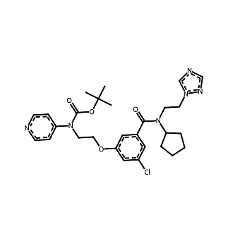 CC(C)(C)OC(=O)N(CCOc1cc(Cl)cc(C(=O)N(CCn2cncn2)C2CCCC2)c1)c1ccncc1